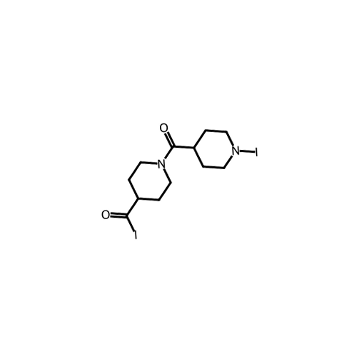 O=C(I)C1CCN(C(=O)C2CCN(I)CC2)CC1